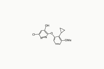 COc1cccc(Oc2nnc(Cl)cc2O)c1C1CC1